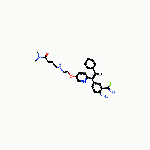 CC/C(=C(\c1ccc(N)c(C(=N)F)c1)c1ccc(OCCNC/C=C/C(=O)N(C)C)cn1)c1ccccc1